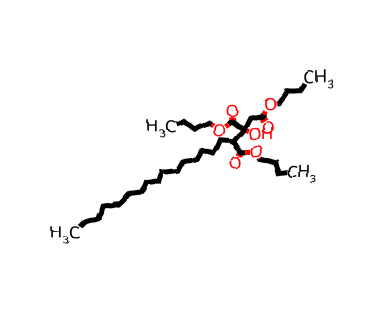 CCCCCCCCCCCCCCCCC(C(=O)OCCCC)C(O)(CC(=O)OCCCC)C(=O)OCCCC